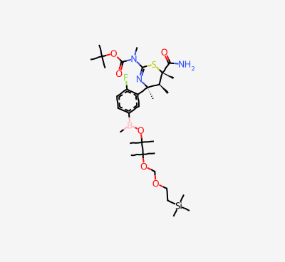 CB(OC(C)(C)C(C)(C)OCOCC[Si](C)(C)C)c1ccc(F)c([C@@]2(C)N=C(N(C)C(=O)OC(C)(C)C)S[C@](C)(C(N)=O)[C@H]2C)c1